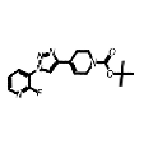 CC(C)(C)OC(=O)N1CC=C(c2cn(-c3cccnc3F)nn2)CC1